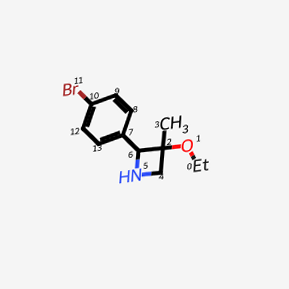 CCOC1(C)CNC1c1ccc(Br)cc1